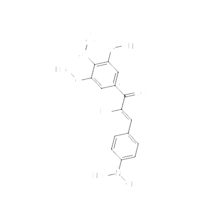 COc1cc(C(=O)/C(C)=C/c2ccc(N(C)C)cc2)cc(OC)c1OC